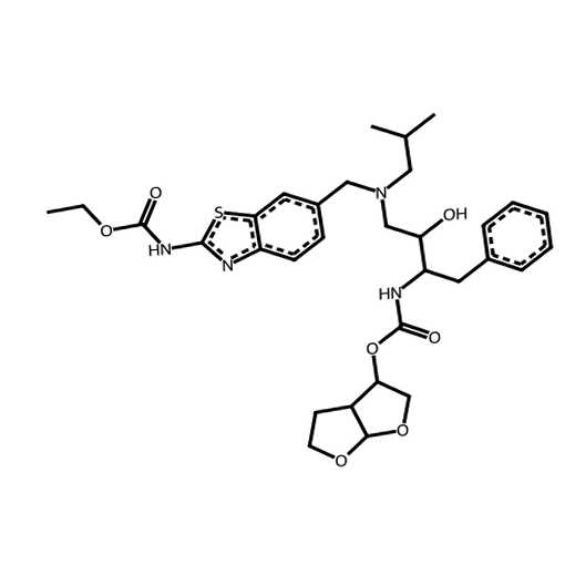 CCOC(=O)Nc1nc2ccc(CN(CC(C)C)CC(O)C(Cc3ccccc3)NC(=O)OC3COC4OCCC34)cc2s1